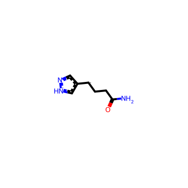 NC(=O)CC[CH]c1cn[nH]c1